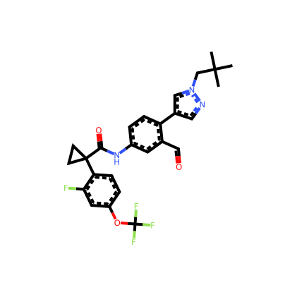 CC(C)(C)Cn1cc(-c2ccc(NC(=O)C3(c4ccc(OC(F)(F)F)cc4F)CC3)cc2C=O)cn1